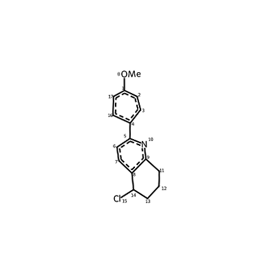 COc1ccc(-c2ccc3c(n2)CCCC3Cl)cc1